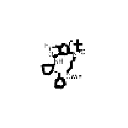 COCCCCN1C(=O)C(C)(C)Oc2cc(C(F)(F)F)c(C(=O)NC3CCCC[C@@H]3Cc3ccccc3)cc21